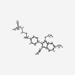 CCn1c(-c2ccc(NCCC[SH](=O)=O)cc2)c(C#N)c2ccc(C)cc21